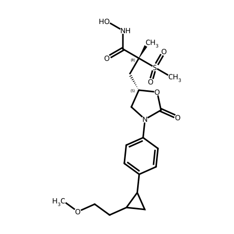 COCCC1CC1c1ccc(N2C[C@H](C[C@](C)(C(=O)NO)S(C)(=O)=O)OC2=O)cc1